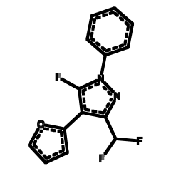 Fc1c(-c2ccco2)c(C(F)F)nn1-c1ccccc1